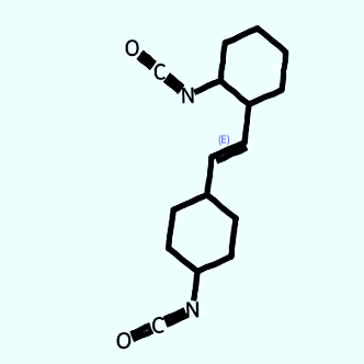 O=C=NC1CCC(/C=C/C2CCCCC2N=C=O)CC1